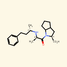 C[C@@H](CCc1ccccc1)N[C@H](C)C(=O)N1C2CCCC2C[C@H]1C(=O)O